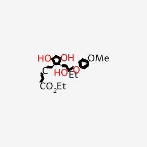 CCOC(=O)CCC=C=CC[C@@H]1[C@@H](C=CC(O)(CC)COc2ccc(OC)cc2)[C@H](O)C[C@@H]1O